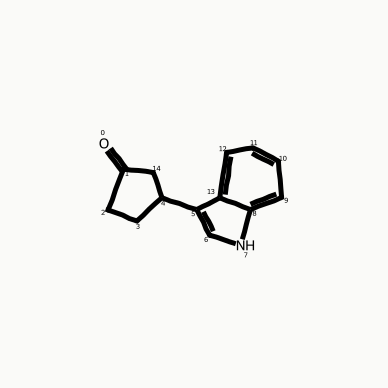 O=C1CCC(c2c[nH]c3ccccc23)C1